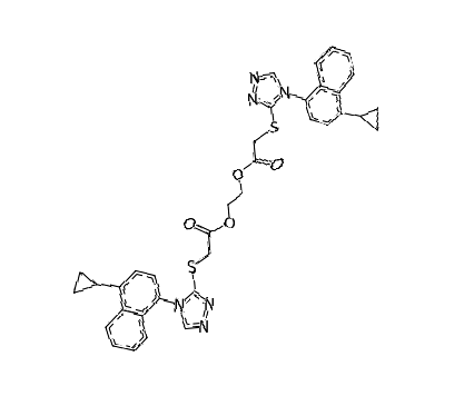 O=C(CSc1nncn1-c1ccc(C2CC2)c2ccccc12)OCCOC(=O)CSc1nncn1-c1ccc(C2CC2)c2ccccc12